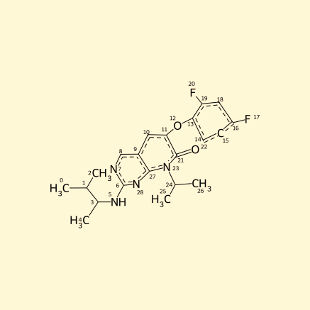 CC(C)C(C)Nc1ncc2cc(Oc3ccc(F)cc3F)c(=O)n(C(C)C)c2n1